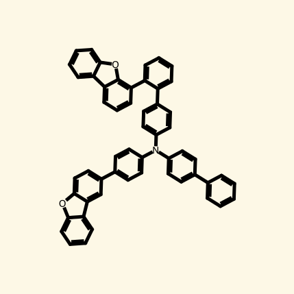 c1ccc(-c2ccc(N(c3ccc(-c4ccc5oc6ccccc6c5c4)cc3)c3ccc(-c4ccccc4-c4cccc5c4oc4ccccc45)cc3)cc2)cc1